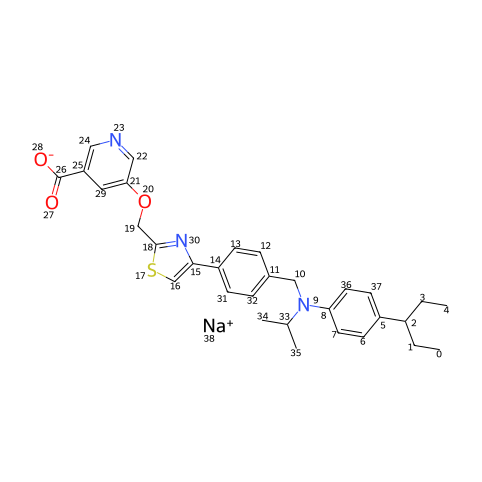 CCC(CC)c1ccc(N(Cc2ccc(-c3csc(COc4cncc(C(=O)[O-])c4)n3)cc2)C(C)C)cc1.[Na+]